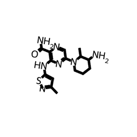 Cc1cc(Nc2nc(N3CCCC(N)C3C)cnc2C(N)=O)sn1